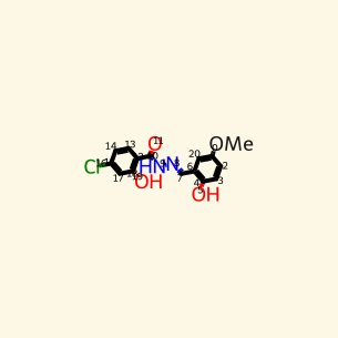 COc1ccc(O)c(C=NNC(=O)c2ccc(Cl)cc2O)c1